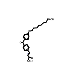 COC(=O)/C=C/c1ccc(C(=O)c2ccc(OCCCCCCCCO)cc2)cc1